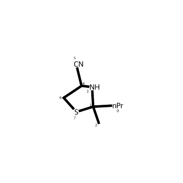 CCCC1(C)NC(C#N)CS1